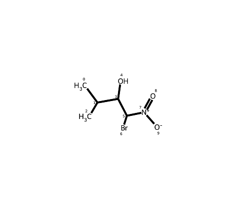 CC(C)C(O)C(Br)[N+](=O)[O-]